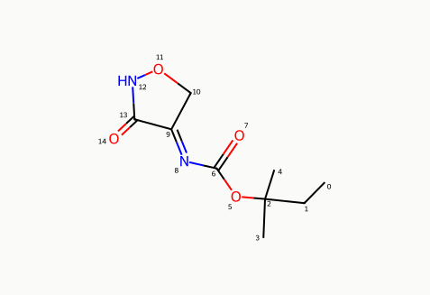 CCC(C)(C)OC(=O)/N=C1\CONC1=O